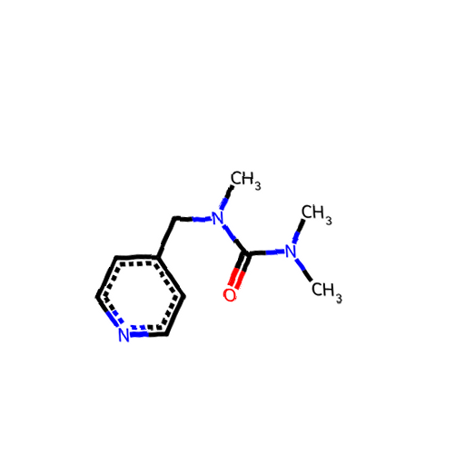 CN(C)C(=O)N(C)Cc1ccncc1